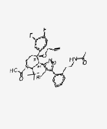 C#CCO[C@]1(c2ccc(F)c(F)c2)CCN(C(=O)O)C(C(C)(C)C)[C@@H]1c1noc(-c2ccccc2CCNC(C)=O)c1Br